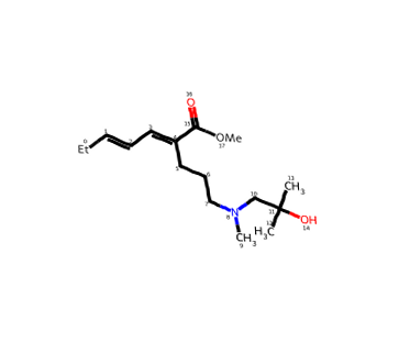 CC/C=C/C=C(\CCCN(C)CC(C)(C)O)C(=O)OC